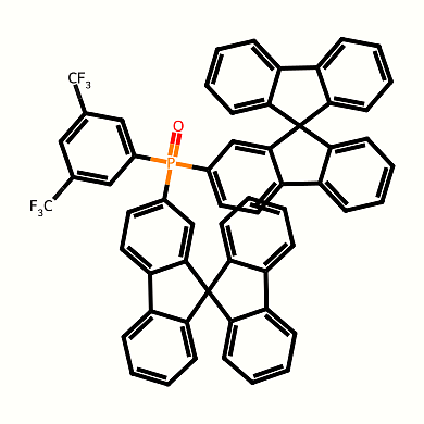 O=P(c1cc(C(F)(F)F)cc(C(F)(F)F)c1)(c1ccc2c(c1)C1(c3ccccc3-c3ccccc31)c1ccccc1-2)c1ccc2c(c1)C1(c3ccccc3-c3ccccc31)c1ccccc1-2